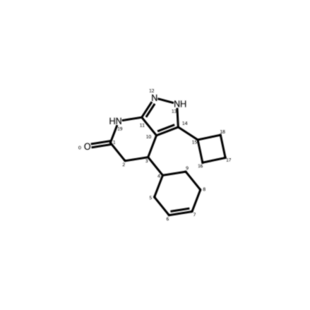 O=C1CC(C2CC=CCC2)c2c(n[nH]c2C2CCC2)N1